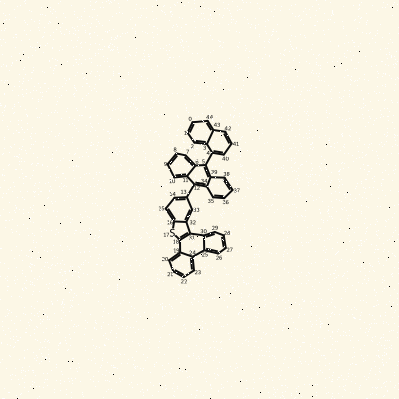 c1ccc2c(-c3c4ccccc4c(-c4ccc5sc6c7ccccc7c7ccccc7c6c5c4)c4ccccc34)cccc2c1